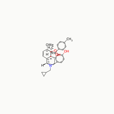 CO[C@@]12C=C[C@]3(C[C@]1(C)[C@H](O)c1ccc(C)cc1)[C@@H]1Cc4ccc(O)c5c4[C@]3(CCN1CC1CC1)[C@@H]2O5